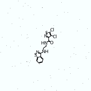 O=C(NCCNc1nsc2ccccc12)c1nsc(Cl)c1Cl